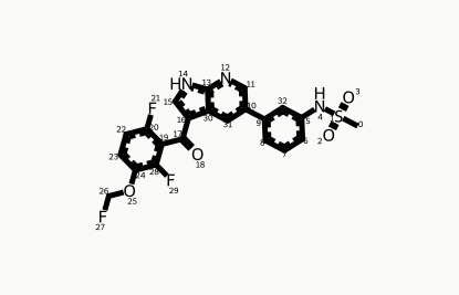 CS(=O)(=O)Nc1cccc(-c2cnc3[nH]cc(C(=O)c4c(F)ccc(OCF)c4F)c3c2)c1